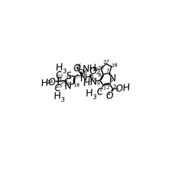 Cc1c(C(=O)O)nc2c(c1NC(=O)N=S(N)(=O)c1cnc(C(C)(C)O)s1)CCC2